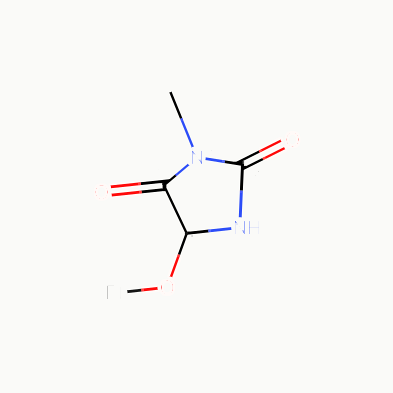 CCOC1NC(=O)N(C)C1=O